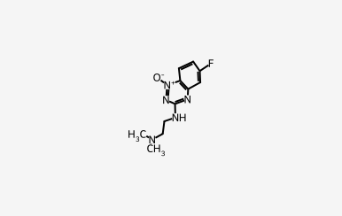 CN(C)CCNc1nc2cc(F)ccc2[n+]([O-])n1